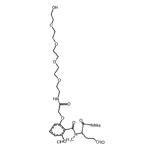 CNC(=O)C(CCC=O)N(C)C(=O)c1c(C=O)cccc1OCC(=O)NCCOCCOCCOCCOCCO